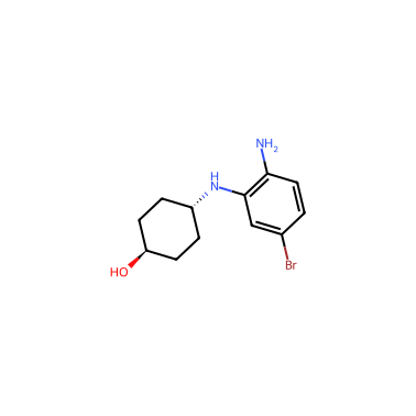 Nc1ccc(Br)cc1N[C@H]1CC[C@H](O)CC1